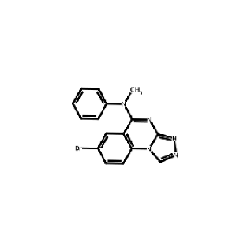 CN(c1ccccc1)c1nc2nncn2c2ccc(Br)cc12